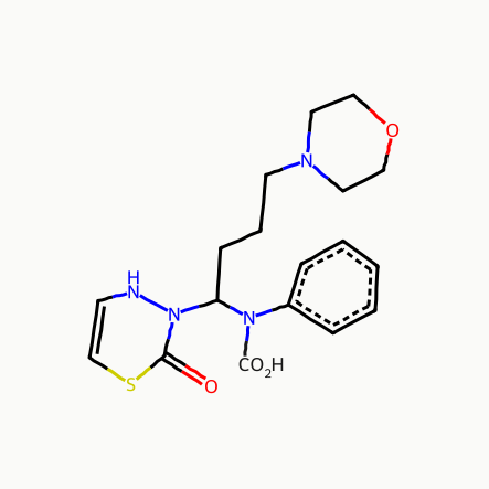 O=C1SC=CNN1C(CCCN1CCOCC1)N(C(=O)O)c1ccccc1